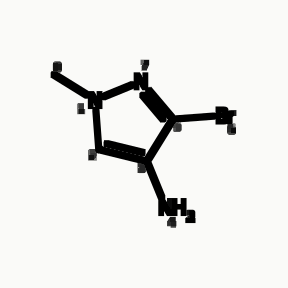 Cn1cc(N)c(Br)n1